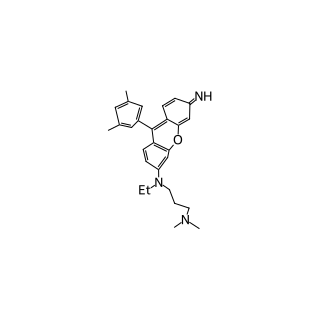 CCN(CCCN(C)C)c1ccc2c(-c3cc(C)cc(C)c3)c3ccc(=N)cc-3oc2c1